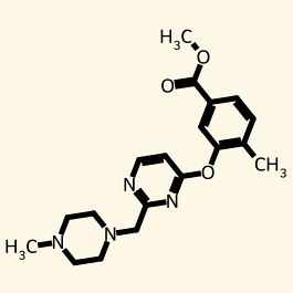 COC(=O)c1ccc(C)c(Oc2ccnc(CN3CCN(C)CC3)n2)c1